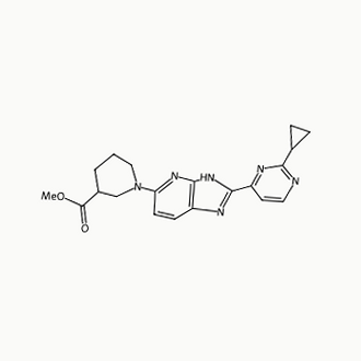 COC(=O)C1CCCN(c2ccc3nc(-c4ccnc(C5CC5)n4)[nH]c3n2)C1